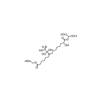 BC(O)C(O)(O)N(CCCCCCC(O)C(=O)OC(CCCCCCCC)CCCCCCCC)CCCCCC(=O)OCCCCCCCCCCC